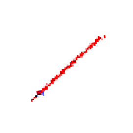 CCCCCCCCCCCCCC(=O)N[C@@H](CCC(=O)NCCOCCOCCOCCOCCOCCOCCOCCOCCOCCOCCOCCOCCOCCOCCOCCOCCOCCOCCOCCOCCOCCCCCOCCOCCOCCOCCOCCOCCOCCOCCOCCOCCOCCOCCOCCOCCC(=O)O)C(=O)OC(C)(C)C